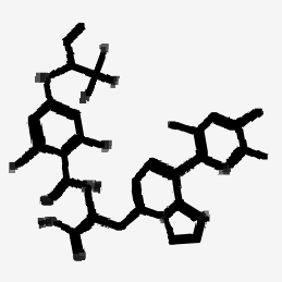 CCC(Nc1cc(F)c(C(=O)NC(Cc2ccc(-c3nc(C)c(C)cc3C)c3nccn23)C(=O)O)c(F)c1)C(F)(F)F